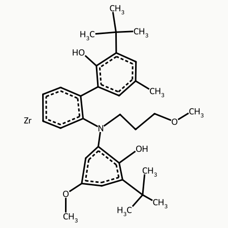 COCCCN(c1ccccc1-c1cc(C)cc(C(C)(C)C)c1O)c1cc(OC)cc(C(C)(C)C)c1O.[Zr]